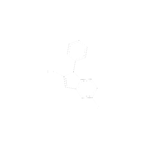 CC1=Cc2cc(Br)ccc2C1c1ccccc1